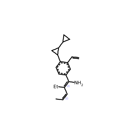 C=Cc1cc(/C(N)=C(/C=C\C)CC)ccc1C1CC1C1CC1